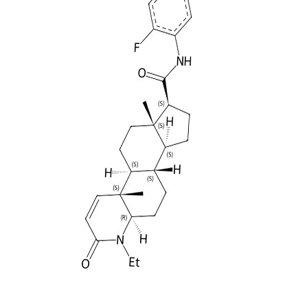 CCN1C(=O)C=C[C@]2(C)[C@H]3CC[C@]4(C)[C@@H](C(=O)Nc5ccccc5F)CC[C@H]4[C@@H]3CC[C@@H]12